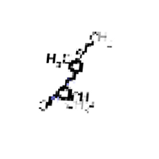 CCCCSc1ccc(/C=C/C2=CC(=C/C=O)/CC(C)(C)C2)cc1C